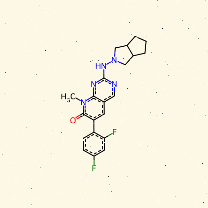 Cn1c(=O)c(-c2ccc(F)cc2F)cc2cnc(NN3CC4CCCC4C3)nc21